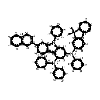 CC1(C)c2ccccc2-c2ccc(N(c3ccccc3)c3cc(N(c4ccccc4)c4ccccc4)c4c5ccc(-c6ccc7ccccc7c6)cc5n(-c5ccccc5)c4c3)cc21